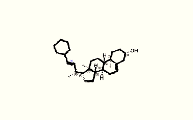 C[C@H](/C=C/C1CCCCC1)[C@H]1CC[C@H]2[C@@H]3CC=C4C[C@@H](O)CC[C@]4(C)[C@H]3CC[C@]12C